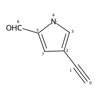 C#CC1=C[N]C(C=O)=C1